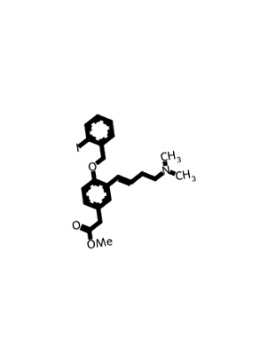 COC(=O)Cc1ccc(OCc2ccccc2I)c(C=CCCN(C)C)c1